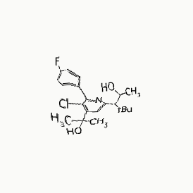 C[C](O)C(c1cc(C(C)(C)O)c(Cl)c(-c2ccc(F)cc2)n1)C(C)(C)C